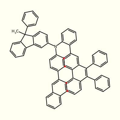 CC1(c2ccccc2)c2ccccc2-c2cc(N(c3ccc(-c4ccc5ccccc5c4)cc3)c3ccccc3-c3ccc4c(c3)c(-c3ccccc3)c(-c3ccccc3)c3ccccc34)ccc21